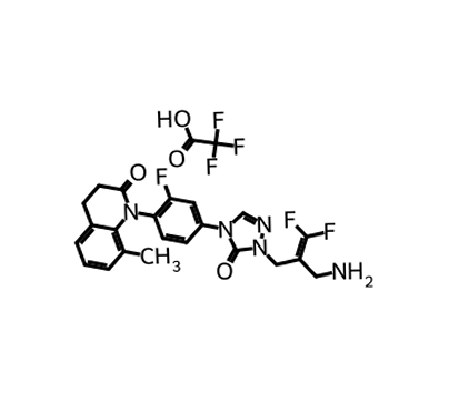 Cc1cccc2c1N(c1ccc(-n3cnn(CC(CN)=C(F)F)c3=O)cc1F)C(=O)CC2.O=C(O)C(F)(F)F